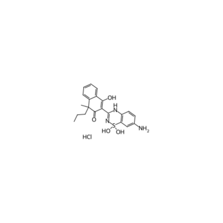 CCCC1(C)C(=O)C(C2=NS(O)(O)c3cc(N)ccc3N2)=C(O)c2ccccc21.Cl